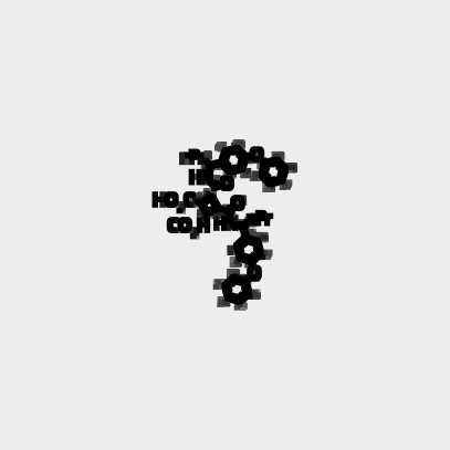 CCC[C@H](NC(=O)[C@H]1[C@@H](C(=O)O)[C@H](C(=O)O)[C@@H]1C(=O)N[C@@H](CCC)c1ccc(Oc2ccccc2)cc1)c1ccc(Oc2ccccc2)cc1